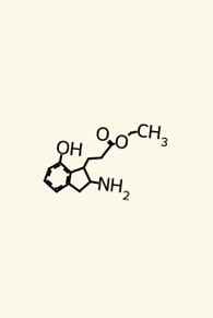 CCOC(=O)CCC1c2c(O)cccc2CC1N